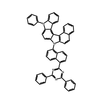 c1ccc(-c2nc(-c3ccccc3)nc(-c3cccc4c(-n5c6ccc7ccccc7c6c6c7c8ccccc8n(-c8ccccc8)c7ccc65)cccc34)n2)cc1